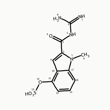 Cn1c(C(=O)NC(=N)N)cc2c(OS(=O)(=O)O)cccc21